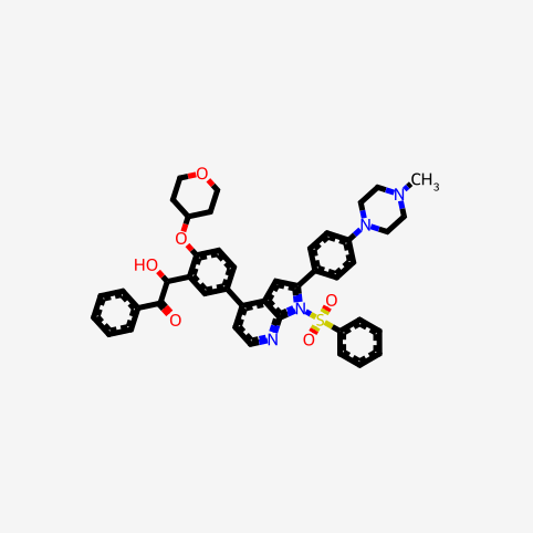 CN1CCN(c2ccc(-c3cc4c(-c5ccc(OC6CCOCC6)c(C(O)C(=O)c6ccccc6)c5)ccnc4n3S(=O)(=O)c3ccccc3)cc2)CC1